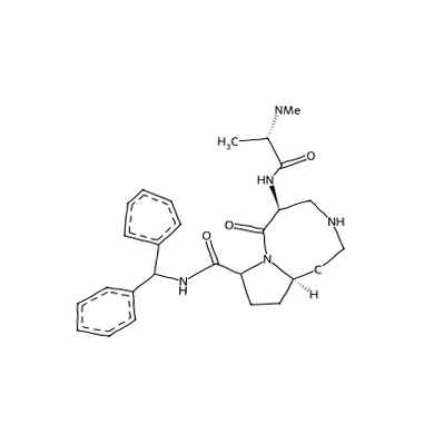 CN[C@@H](C)C(=O)N[C@H]1CNCC[C@H]2CCC(C(=O)NC(c3ccccc3)c3ccccc3)N2C1=O